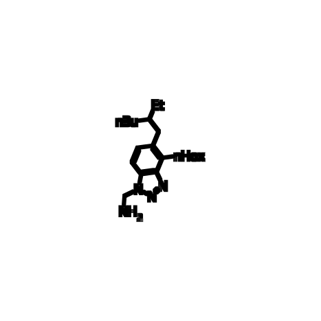 CCCCCCc1c(CC(CC)CCCC)ccc2c1nnn2CN